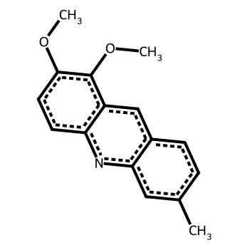 COc1ccc2nc3cc(C)ccc3cc2c1OC